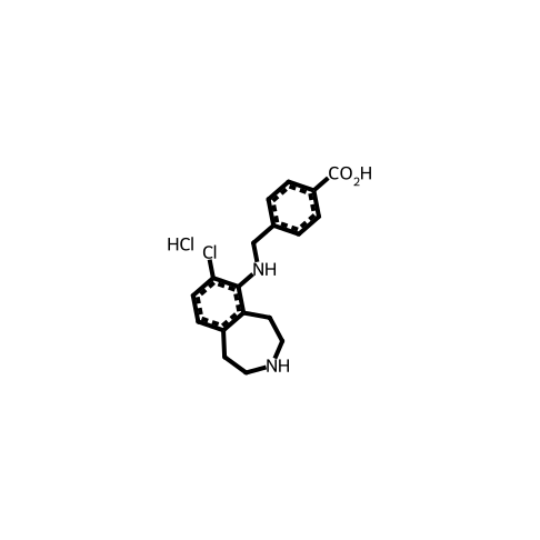 Cl.O=C(O)c1ccc(CNc2c(Cl)ccc3c2CCNCC3)cc1